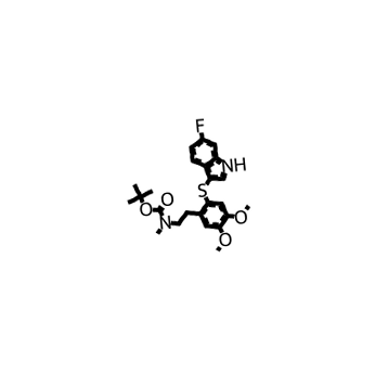 COc1cc(CCN(C)C(=O)OC(C)(C)C)c(Sc2c[nH]c3cc(F)ccc23)cc1OC